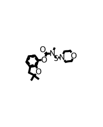 CN(SN1CCOCC1)C(=O)Oc1cccc2c1OC(C)(C)C2